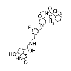 CC(C)(C(=O)N1CCOC2(CCN(Cc3cc(F)cc(CCNC[C@H](O)c4ccc(O)c5[nH]c(=O)sc45)c3)CC2)C1)c1ccccc1